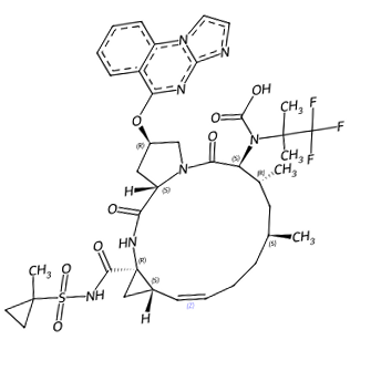 C[C@H]1CC/C=C\[C@@H]2C[C@@]2(C(=O)NS(=O)(=O)C2(C)CC2)NC(=O)[C@@H]2C[C@@H](Oc3nc4nccn4c4ccccc34)CN2C(=O)[C@@H](N(C(=O)O)C(C)(C)C(F)(F)F)[C@H](C)C1